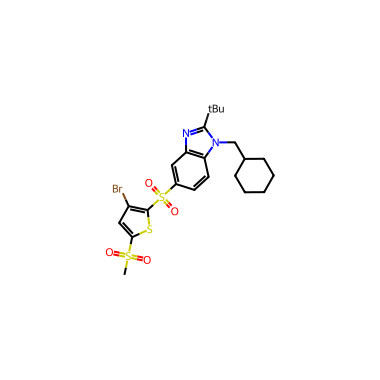 CC(C)(C)c1nc2cc(S(=O)(=O)c3sc(S(C)(=O)=O)cc3Br)ccc2n1CC1CCCCC1